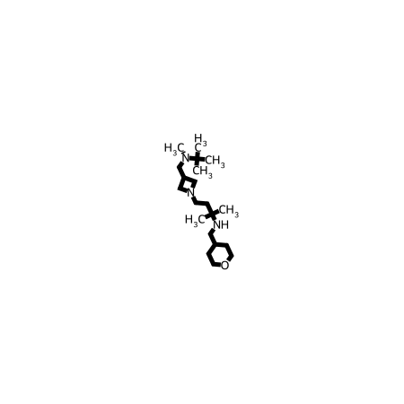 CN(CC1CN(CCC(C)(C)NCC2CCOCC2)C1)C(C)(C)C